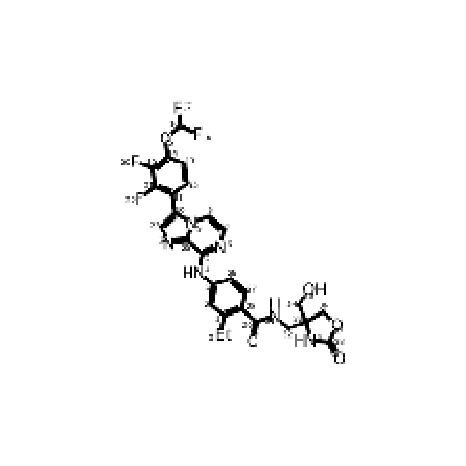 CCc1cc(Nc2nccn3c(-c4ccc(OC(F)F)c(F)c4F)cnc23)ccc1C(=O)NCC1(CO)COC(=O)N1